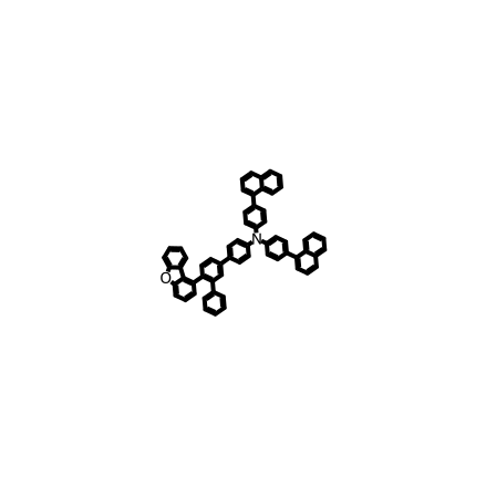 c1ccc(-c2cc(-c3ccc(N(c4ccc(-c5cccc6ccccc56)cc4)c4ccc(-c5cccc6ccccc56)cc4)cc3)ccc2-c2cccc3oc4ccccc4c23)cc1